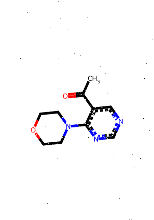 CC(=O)c1cncnc1N1CCOCC1